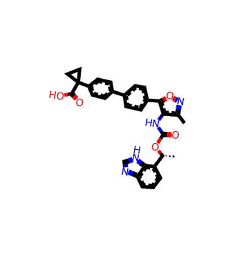 Cc1noc(-c2ccc(-c3ccc(C4(C(=O)O)CC4)cc3)cc2)c1NC(=O)O[C@H](C)c1cccc2nc[nH]c12